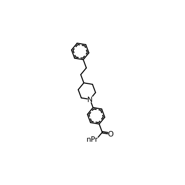 CCCC(=O)c1ccc(N2CCC(CCc3ccccc3)CC2)cc1